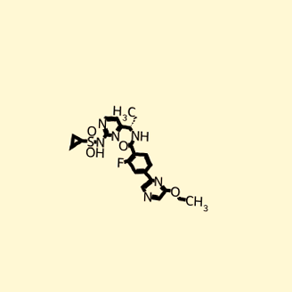 CCOc1cncc(-c2ccc(C(=O)N[C@@H](CC)c3ccnc(NS(=O)(=O)C4CC4)n3)c(F)c2)n1